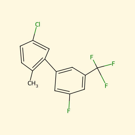 Cc1ccc(Cl)cc1-c1cc(F)cc(C(F)(F)F)c1